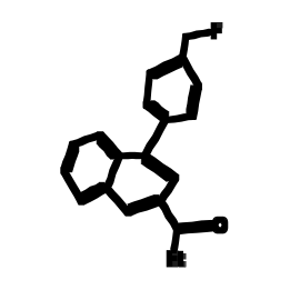 CCC(=O)c1cc(-c2ccc(CF)cc2)c2ccccc2c1